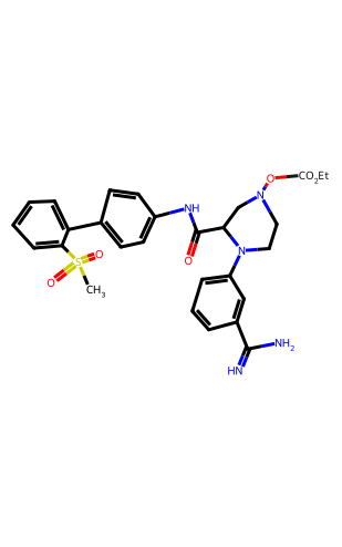 CCOC(=O)ON1CCN(c2cccc(C(=N)N)c2)C(C(=O)Nc2ccc(-c3ccccc3S(C)(=O)=O)cc2)C1